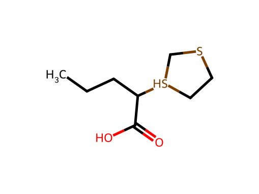 CCCC(C(=O)O)[SH]1CCSC1